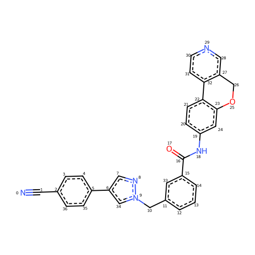 N#Cc1ccc(-c2cnn(Cc3cccc(C(=O)Nc4ccc5c(c4)OCc4cnccc4-5)c3)c2)cc1